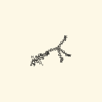 Cc1c(C(=O)C(=O)NCc2cn(CCOCCOCC(COCCOCCN=[N+]=[N-])(COCCOCCN=[N+]=[N-])COCCOCCN=[N+]=[N-])nn2)c(C)n(C)c1C(=O)Nc1ccc(F)c(F)c1